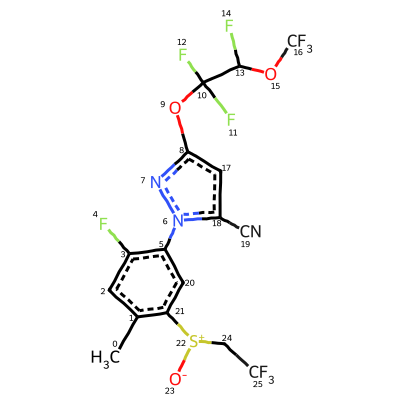 Cc1cc(F)c(-n2nc(OC(F)(F)C(F)OC(F)(F)F)cc2C#N)cc1[S+]([O-])CC(F)(F)F